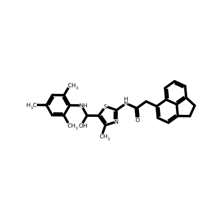 Cc1cc(C)c(NC(O)c2sc(NC(=O)Cc3ccc4c5c(cccc35)CC4)nc2C)c(C)c1